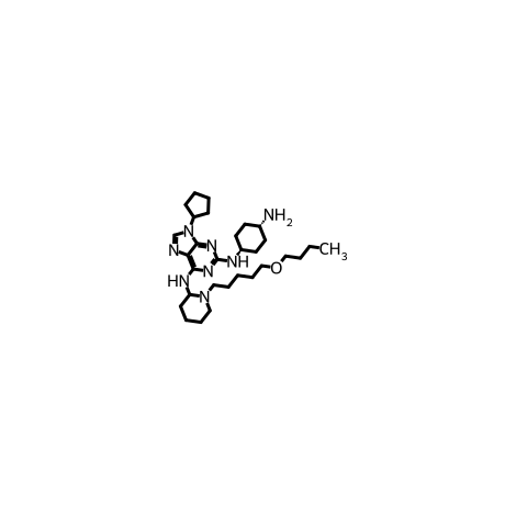 CCCCOCCCCCN1CCCCC1Nc1nc(N[C@H]2CC[C@H](N)CC2)nc2c1ncn2C1CCCC1